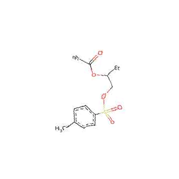 CCCC(=O)OC(CC)COS(=O)(=O)c1ccc(C)cc1